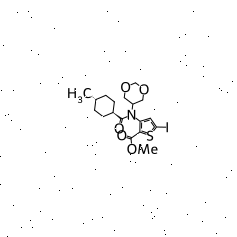 COC(=O)c1sc(I)cc1N(C(=O)[C@H]1CC[C@H](C)CC1)C1COCOC1